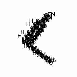 C[n+]1ccn(-c2ccccc2)c1.C[n+]1ccn(-c2ccccc2)c1.C[n+]1ccn(-c2ccccc2)c1.C[n+]1ccn(-c2ccccc2)c1.C[n+]1ccn(-c2ccccc2)c1.C[n+]1ccn(-c2ccccc2)c1.C[n+]1ccn(-c2ccccc2)c1.C[n+]1ccn(-c2ccccc2)c1.N#CB([O-])[O-].N#CB([O-])[O-].N#CB([O-])[O-].N#CB([O-])[O-]